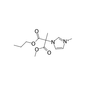 CCCOC(=O)C(C)(C(=O)OC)n1cc[n+](C)c1